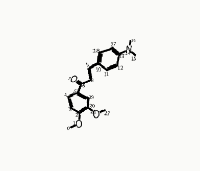 COc1ccc(C(=O)/C=C/c2ccc(N(C)C)cc2)cc1OC